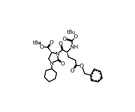 CC(C)(C)OC(=O)N[C@@H](CCC(=O)OCc1ccccc1)C(=O)N1C(=O)N(C2CCCCC2)C[C@H]1C(=O)OC(C)(C)C